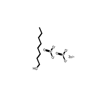 CCCCCCCCO.O=[N+]([O-])[O-].O=[N+]([O-])[O-].[Zn+2]